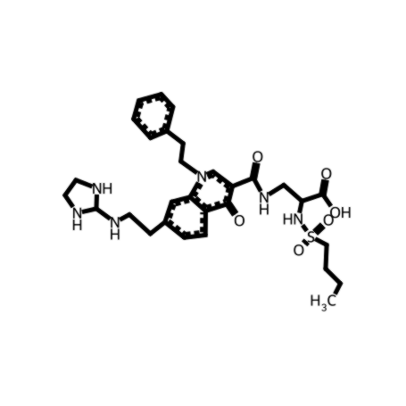 CCCCS(=O)(=O)NC(CNC(=O)c1cn(CCc2ccccc2)c2cc(CCNC3NCCN3)ccc2c1=O)C(=O)O